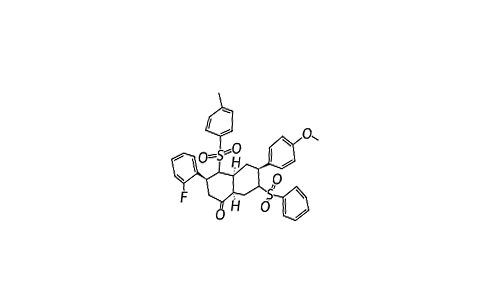 COc1ccc([C@@H]2C[C@@H]3C(S(=O)(=O)c4ccc(C)cc4)[C@H](c4ccccc4F)CC(=O)[C@@H]3CC2S(=O)(=O)c2ccccc2)cc1